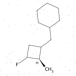 C[C@H]1C(F)CC1CC1CCCCC1